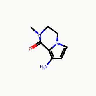 CN1CCn2ccc(N)c2C1=O